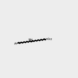 CCCCCCCCC=CCCCCCCCC=CC(N)CCCCCCC=CC(C)C